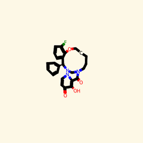 O=C1c2c(O)c(=O)ccn2N2CN1CCCCCOc1c(F)cccc1[C@@H]2c1ccccc1